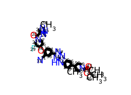 Cc1cc(Nc2ncnc(-c3ccc(OC4CCN(C(=O)c5cn(C)nn5)CC4F)c(C#N)c3)n2)ccc1C1CCN(C(=O)OC(C)(C)C)CC1